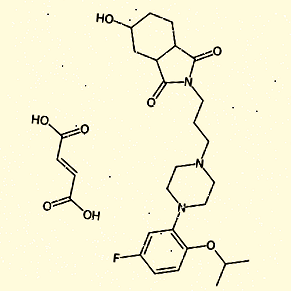 CC(C)Oc1ccc(F)cc1N1CCN(CCCN2C(=O)C3CCC(O)CC3C2=O)CC1.O=C(O)C=CC(=O)O